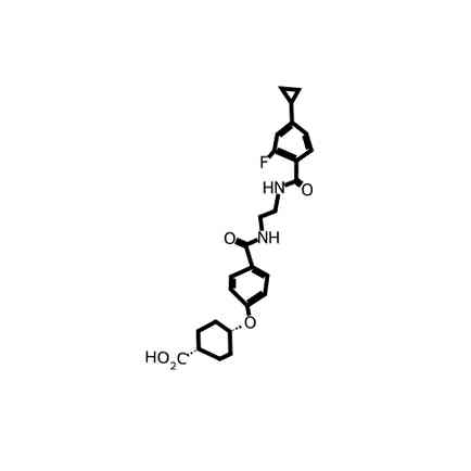 O=C(NCCNC(=O)c1ccc(C2CC2)cc1F)c1ccc(O[C@H]2CC[C@@H](C(=O)O)CC2)cc1